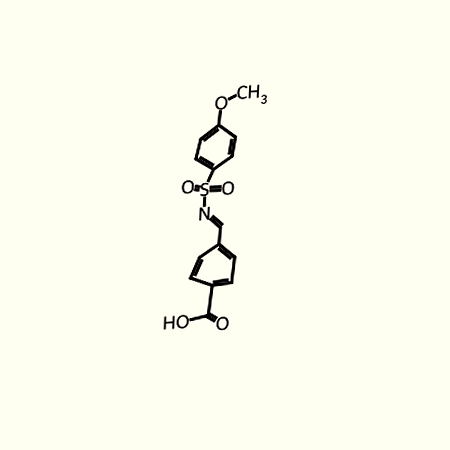 COc1ccc(S(=O)(=O)/N=C/c2ccc(C(=O)O)cc2)cc1